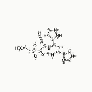 C=CCS(=O)(=O)c1sc2nc(-c3nnco3)nc(-c3ccn[nH]3)c2c1C#N